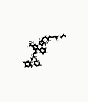 CCCOC(=O)CCCC1CC[C@@H]2C[C@@H](c3cc(C(=O)O)cc(C=C[C@H](COc4cc(F)ccc4F)OC4CCCCO4)c3-c3ccccc3)C[C@@H]2OC1